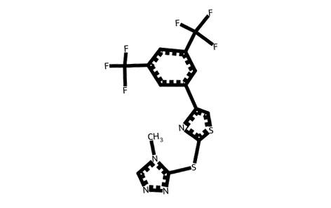 Cn1cnnc1Sc1nc(-c2cc(C(F)(F)F)cc(C(F)(F)F)c2)cs1